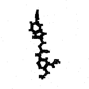 COc1ccc(NC(=O)CSc2nc3cc(C#N)ncc3[nH]2)cc1OC